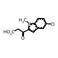 Cn1c(C(=O)CC(=O)O)cc2cc(Cl)ccc21